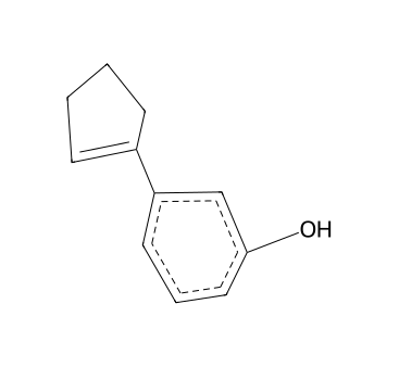 Oc1cccc(C2=CCCC2)c1